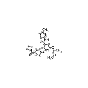 COC[C@H](C)Oc1cc(Oc2ccc(C(=O)N3CCC3)cc2)cc(C(=O)Nc2ccn(C)n2)c1